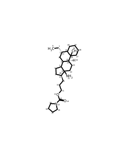 CC[C@H]1CC2C3CC[C@H](CCCOC(=O)N4CCCC4)C3(N)CC[C@@H]2C2(C)CCCCC12